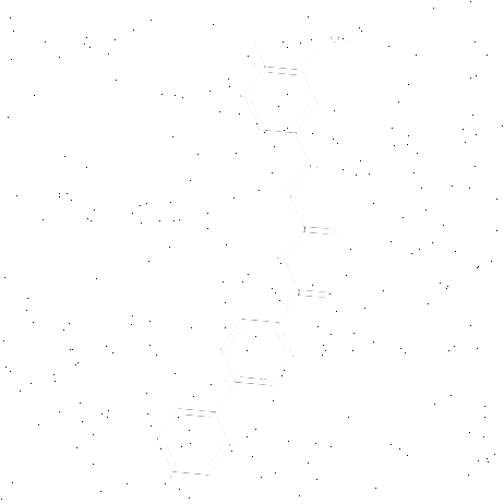 COc1cc(/C=C/C(=O)CC(=O)c2ccc(-c3ccccc3)cc2)ccc1O